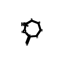 C=C1CCCCNO1